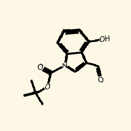 CC(C)(C)OC(=O)n1cc(C=O)c2c(O)cccc21